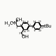 CN(C)Cc1ccc(-c2ccc(C(C)(C)C)cc2)cc1CO